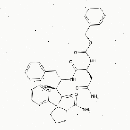 NC(=O)C[C@H](NC(=O)OCc1ccccc1)C(=O)N[C@@H](Cc1ccccc1)[C@H](O)C(=O)[N+]1(c2ccccn2)CCC[C@H]1C(N)=O